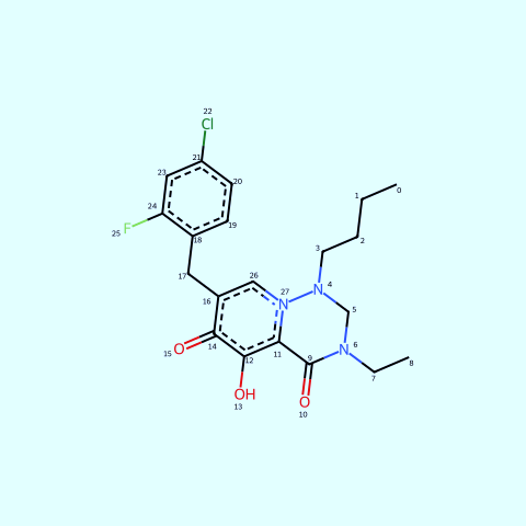 CCCCN1CN(CC)C(=O)c2c(O)c(=O)c(Cc3ccc(Cl)cc3F)cn21